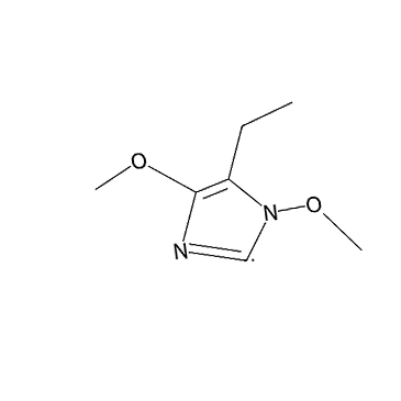 CCc1c(OC)n[c]n1OC